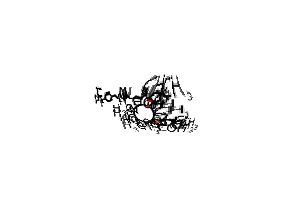 CC[C@H]1OC(=O)[C@H](C)[C@@H](O[C@H]2C[C@@](C)(OC)[C@@H](O)[C@H](C)O2)[C@H](C)[C@@H](O[C@@H]2O[C@H](C)C[C@H](N(C)CCCc3cn(CCc4ccc(C(F)(F)F)cc4)nn3)[C@H]2O)[C@](C)(O)C[C@@H](C)CN(C)[C@H](C)[C@@H](O)[C@]1(C)O